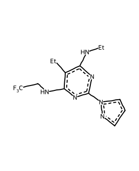 CCNc1nc(-n2cccn2)nc(NCC(F)(F)F)c1CC